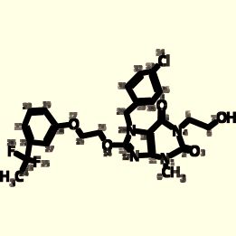 Cn1c(=O)n(CCO)c(=O)c2c1nc(OCCOc1cccc(C(C)(F)F)c1)n2Cc1ccc(Cl)cc1